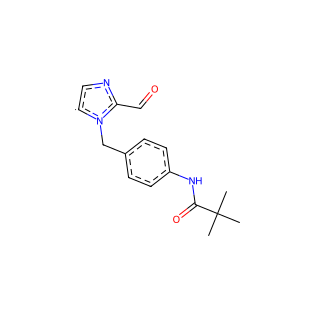 CC(C)(C)C(=O)Nc1ccc(Cn2[c]cnc2C=O)cc1